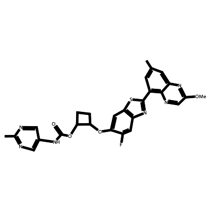 COc1cnc2c(-c3nc4cc(F)c(OC5CCC5OC(=O)Nc5cnc(C)nc5)cc4s3)cc(C)cc2n1